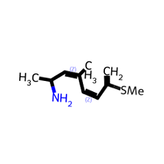 C=C(/C=C\C(C)=C/C(C)N)SC